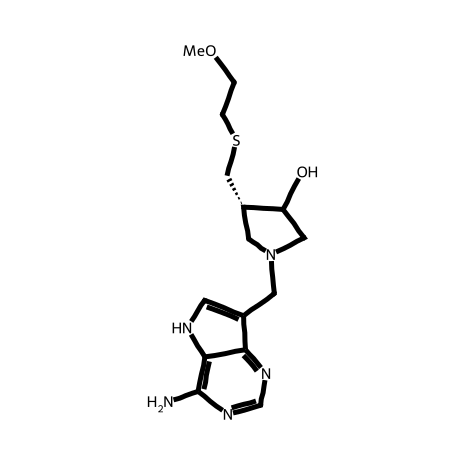 COCCSC[C@H]1CN(Cc2c[nH]c3c(N)ncnc23)CC1O